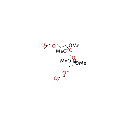 CO[Si](CCCOCC1CO1)(OC)OCO[Si](CCCOCC1CO1)(OC)OC